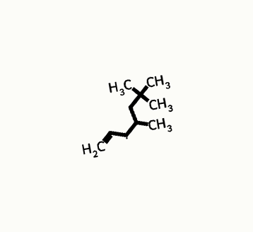 C=C[CH]C(C)CC(C)(C)C